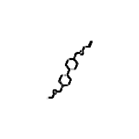 C=CCOC[C@H]1CC[C@H]([C@H]2CC[C@H](COCC)CC2)CC1